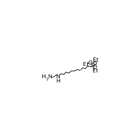 CCO[Si](CCCCCCCCCCCCNCCN)(OCC)OCC